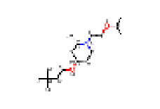 CC(C)OCCN1CC[C@@H](OCCC(C)(C)C)C[C@@H]1C